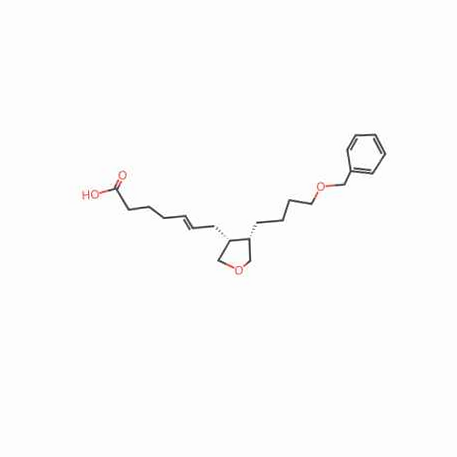 O=C(O)CCCC=CC[C@H]1COC[C@H]1CCCCOCc1ccccc1